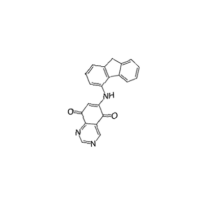 O=C1C(Nc2cccc3c2-c2ccccc2C3)=CC(=O)c2ncncc21